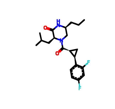 CCC[C@H]1CN(C(=O)[C@@H]2C[C@H]2c2ccc(F)cc2F)[C@@H](CC(C)C)C(=O)N1